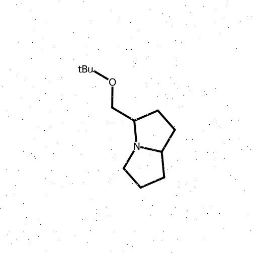 CC(C)(C)OCC1CCC2CCCN21